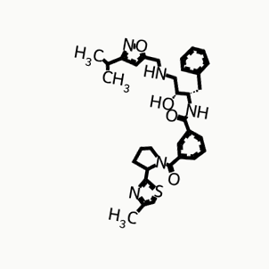 Cc1csc(C2CCCN2C(=O)c2cccc(C(=O)N[C@@H](Cc3ccccc3)[C@H](O)CNCc3cc(C(C)C)no3)c2)n1